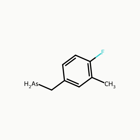 Cc1cc(C[AsH2])ccc1F